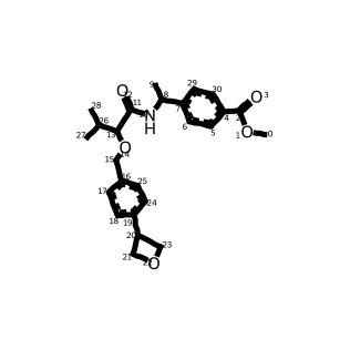 COC(=O)c1ccc(C(C)NC(=O)C(OCc2ccc(C3COC3)cc2)C(C)C)cc1